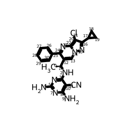 C[C@H](Nc1nc(N)nc(N)c1C#N)c1cn2nc(C3CC3)c(Cl)c2nc1-c1ccccc1